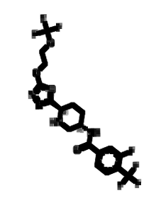 O=C(N[C@H]1CC[C@H](c2nnc(OCCOC(F)(F)F)o2)NC1)c1ccc(C(F)(F)F)c(F)c1